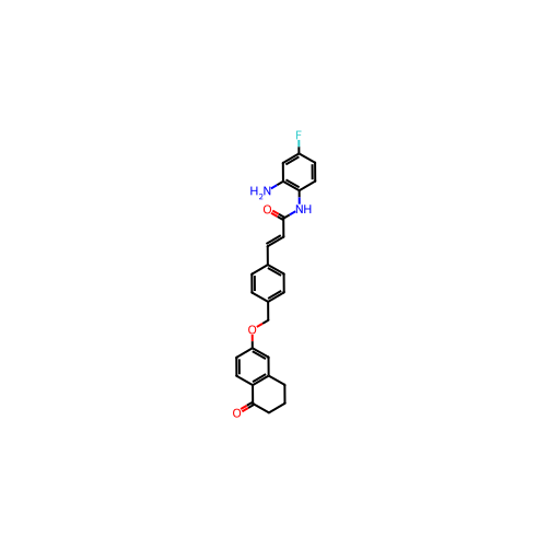 Nc1cc(F)ccc1NC(=O)/C=C/c1ccc(COc2ccc3c(c2)CCCC3=O)cc1